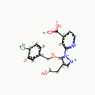 O=C(O)c1ccnc(-n2ncc(CCO)c2OCc2ccc(Cl)cc2)c1